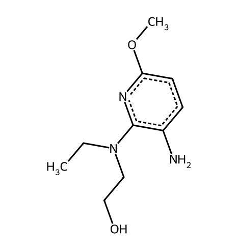 CCN(CCO)c1nc(OC)ccc1N